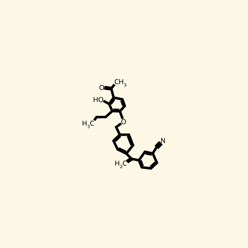 C=C(c1ccc(COc2ccc(C(C)=O)c(O)c2CCC)cc1)c1cccc(C#N)c1